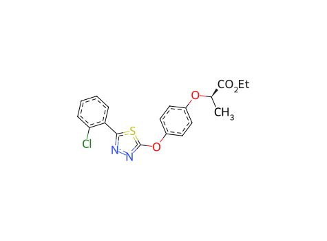 CCOC(=O)[C@@H](C)Oc1ccc(Oc2nnc(-c3ccccc3Cl)s2)cc1